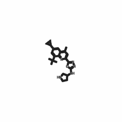 Cc1cc(-c2nnc(NC3CCNC3)o2)nc2c(C(C)(C)C)cc(C3CC3)cc12